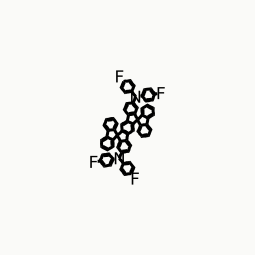 Fc1ccc(N(c2ccc(F)cc2)c2ccc3c(c2)C2(c4ccccc4-c4ccccc42)c2cc4c(cc2-3)C2(c3ccccc3-c3ccccc32)c2cc(N(c3ccc(F)cc3)c3ccc(F)cc3)ccc2-4)cc1